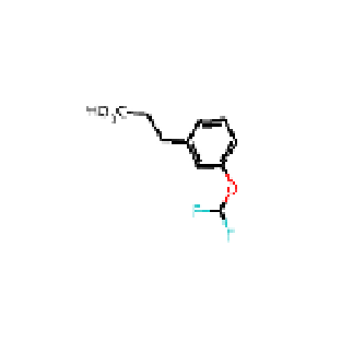 O=C(O)CCc1cccc(OC(F)F)c1